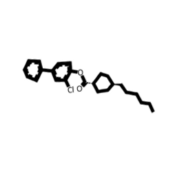 CCCCCC[C@H]1CC[C@H](C(=O)Oc2ccc(-c3ccccc3)cc2Cl)CC1